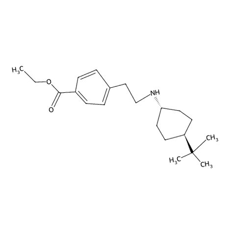 CCOC(=O)c1ccc(CCN[C@H]2CC[C@H](C(C)(C)C)CC2)cc1